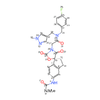 CNC(=O)Nc1ccc2c(c1)CC[C@@]21OC(=O)N(CC(=O)N(Cc2ccc(F)cc2)Cc2cnn(C)c2)C1=O